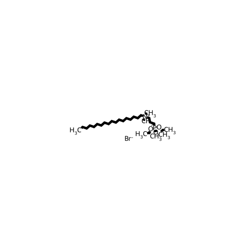 CCCCCCCCCCCCCCCCCC[N+](C)(C)CCCP(=O)(OC(C)C)OC(C)C.[Br-]